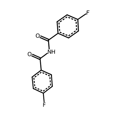 O=C(NC(=O)c1ccc(F)cc1)c1ccc(F)cc1